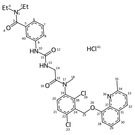 CCN(CC)C(=O)c1cccc(NC(=O)NCC(=O)N(C)c2ccc(Cl)c(COc3cccc4ccc(C)nc34)c2Cl)c1.Cl